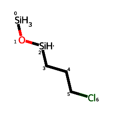 [SiH3]O[SiH]CCCCl